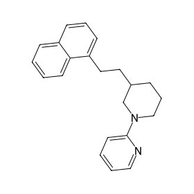 c1ccc(N2CCCC(CCc3cccc4ccccc34)C2)nc1